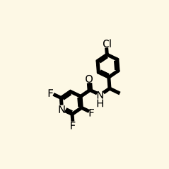 CC(NC(=O)c1cc(F)nc(F)c1F)c1ccc(Cl)cc1